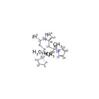 CC(C)C(CCC(C)(C)N1CCCC1)n1nccc1CC(C)(C)n1cccc1